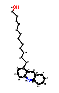 OCCCCCCCCCCCCc1cccc2nc3ccccc3cc12